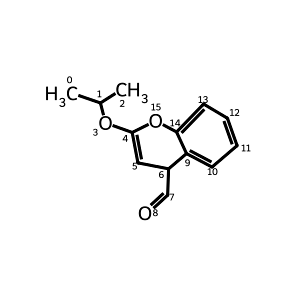 CC(C)OC1=CC(C=O)c2ccccc2O1